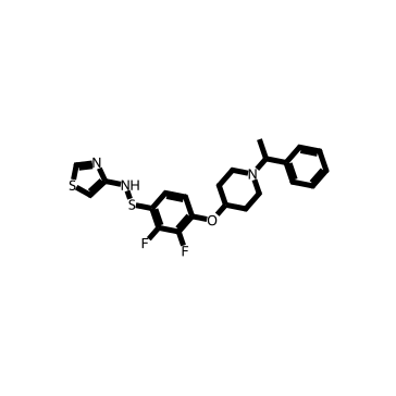 CC(c1ccccc1)N1CCC(Oc2ccc(SNc3cscn3)c(F)c2F)CC1